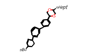 CCCCCCCC1COC(c2ccc(-c3ccc(C4CCC(CCCC)CC4)cc3)cc2)CO1